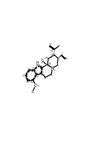 C=C[C@H]1CN2CCc3c([nH]c4cccc(OC)c34)[C@@H]2C[C@@H]1C(=C)C